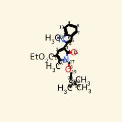 CCOC(=O)c1cc(-c2cc3ccccc3n2C)c(=O)n(COCC[Si](C)(C)C)c1C